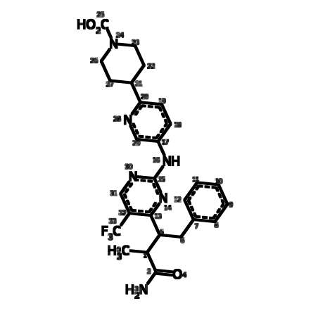 CC(C(N)=O)C(Cc1ccccc1)c1nc(Nc2ccc(C3CCN(C(=O)O)CC3)nc2)ncc1C(F)(F)F